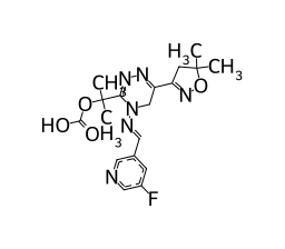 CC1(C)CC(C2=NN=C(C(C)(C)OC(=O)O)N(N=Cc3cncc(F)c3)C2)=NO1